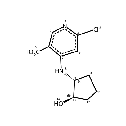 O=C(O)c1cnc(Cl)cc1N[C@@H]1CCC[C@H]1O